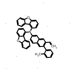 C=Cc1cc2cc(N(c3cccc4oc5ccccc5c34)c3cccc4oc5ccccc5c34)ccc2cc1-c1ccccc1C